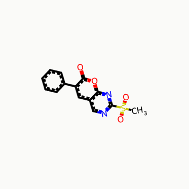 CS(=O)(=O)c1ncc2cc(-c3ccccc3)c(=O)oc2n1